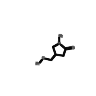 CC(C)OCC1CC(=O)N(C(C)C)C1